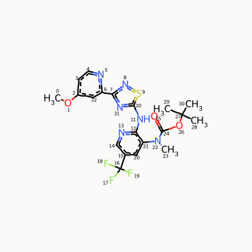 COc1ccnc(-c2nsc(Nc3ncc(C(F)(F)F)cc3N(C)C(=O)OC(C)(C)C)n2)c1